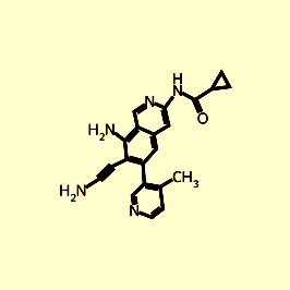 Cc1ccncc1-c1cc2cc(NC(=O)C3CC3)ncc2c(N)c1C#CN